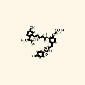 CC(=O)C(O)C(C)c1ccc(O)cc1CCCCC(=O)Nc1cc(CCNS(=O)(=O)c2ccc(Cl)cc2)ccc1OCC(=O)O